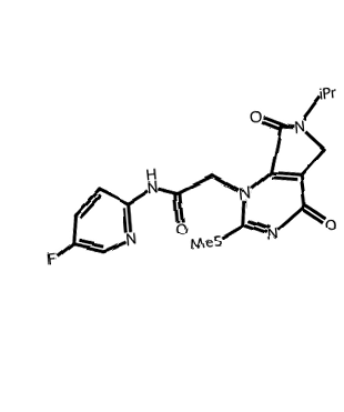 CSc1nc(=O)c2c(n1CC(=O)Nc1ccc(F)cn1)C(=O)N(C(C)C)C2